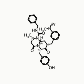 CC(C)N(C)c1cccc(CN2C[C@@H]3N(C(=O)CN(C)N3C(=O)NCc3ccccc3)[C@@H](Cc3ccc(O)cc3)C2=O)c1